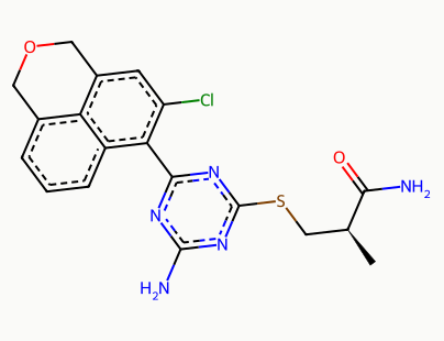 C[C@@H](CSc1nc(N)nc(-c2c(Cl)cc3c4c(cccc24)COC3)n1)C(N)=O